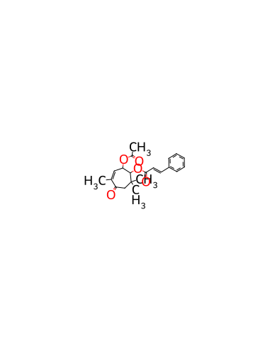 CC(=O)OC1C=C(C)C(=O)CC(C)(C)C1OC(=O)C=Cc1ccccc1